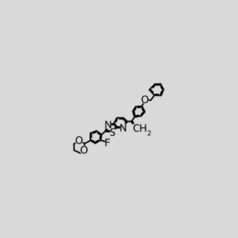 C=C(c1ccc(OCc2ccccc2)cc1)c1ccc2nc(-c3ccc(C4OCCCO4)cc3F)sc2n1